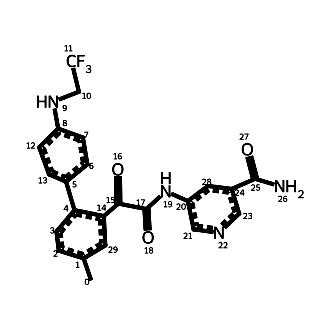 Cc1ccc(-c2ccc(NCC(F)(F)F)cc2)c(C(=O)C(=O)Nc2cncc(C(N)=O)c2)c1